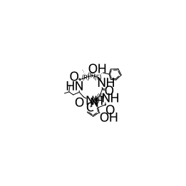 CC(C)CC1NC(=O)[C@H](C)[C@H](O)[C@H](Cc2ccccc2)NC(=O)[C@@H](NC(=O)c2ncccc2O)[C@@H](C)NC1=O